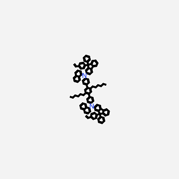 C=Cc1ccc(C2(c3ccccc3)c3ccccc3-c3ccc(N(c4ccc(-c5cc(CCCCCC)c(-c6ccc(N(c7ccc8c(c7)C(c7ccccc7)(c7ccc(C=C)cc7)c7ccccc7-8)c7cccc8ccccc78)cc6)cc5CCCCCC)cc4)c4cccc5ccccc45)cc32)cc1